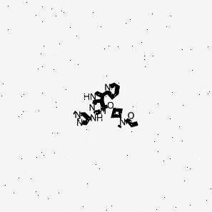 C=CC(=O)N(C)[C@H]1C[C@H](Oc2nc(Nc3cnn(C)c3)nc3[nH]cc(-c4ccccn4)c23)C1